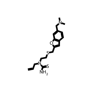 C=CCN(CCSCc1cc2ccc(CN(C)C)cc2o1)C(N)=S